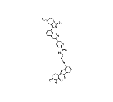 CCc1nc(-c2cccc3cc(-c4ccc(C(=O)NCCC#Cc5cccc6c5CN([C@@H]5CCC(=O)NC5=O)C6=O)nc4)ncc23)c2n1CCN(C(C)=O)C2